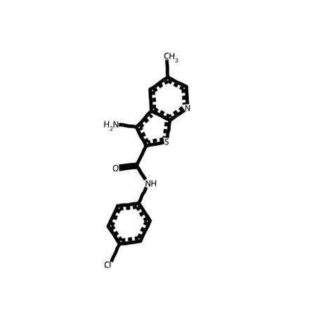 Cc1cnc2sc(C(=O)Nc3ccc(Cl)cc3)c(N)c2c1